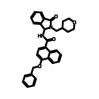 O=C(NC1c2ccccc2C(=O)N1CC1CCOCC1)c1ccc(OCc2ccccc2)c2ccccc12